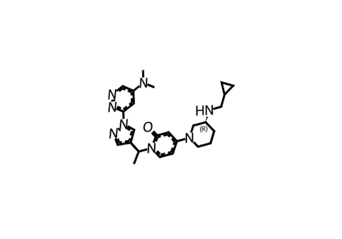 CC(c1cnn(-c2cc(N(C)C)cnn2)c1)n1ccc(N2CCC[C@@H](NCC3CC3)C2)cc1=O